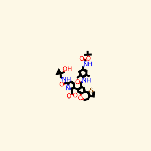 COC(=O)c1nc(C(=O)NCC2(CO)CC2)ccc1-c1cc2c(cc1C(=O)Nc1c(C)cc(CNC(=O)OC(C)(C)C)cc1C)-c1sccc1CCO2